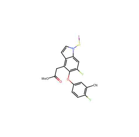 COC(=O)Cc1c(Oc2ccc(F)c(C#N)c2)c(F)cc2c1ccn2SI